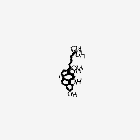 OC(O)CCCC(O)C1CCC2[C@@H]3CCC4C[C@@H](O)CC[C@]4(O)C3CC[C@]12O